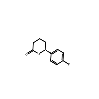 O=C1CCC[C@@H](c2ccc(F)cc2)O1